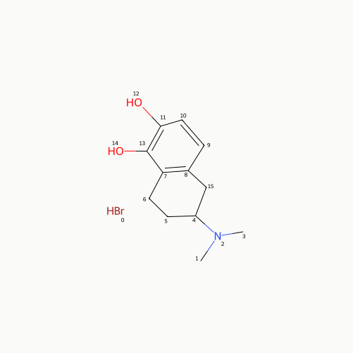 Br.CN(C)C1CCc2c(ccc(O)c2O)C1